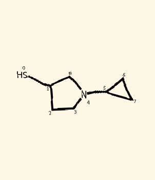 SC1CCN(C2CC2)C1